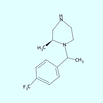 CC(c1ccc(C(F)(F)F)cc1)N1CCNC[C@@H]1C